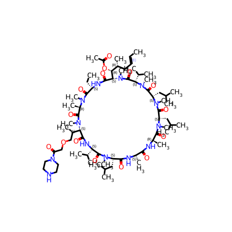 C/C=C/C[C@@H](C)[C@@H](OC(C)=O)[C@H]1C(=O)N[C@@H](CC)C(=O)N(C)[C@H](C)C(=O)N(C)[C@@H]([C@H](C)COCC(=O)N2CCNCC2)C(=O)N[C@@H](C(C)C)C(=O)N(C)[C@@H](CC(C)C)C(=O)N[C@@H](C)C(=O)N[C@H](C)C(=O)N(C)[C@@H](CC(C)C)C(=O)N(C)[C@@H](CC(C)C)C(=O)N(C)[C@@H](C(C)C)C(=O)N1C